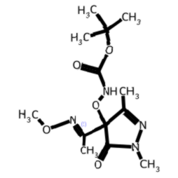 CO/N=C(\C)C1(ONC(=O)OC(C)(C)C)C(=O)N(C)N=C1C